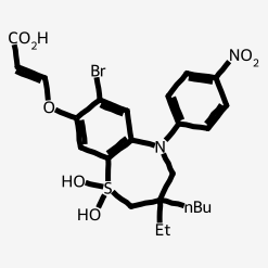 CCCCC1(CC)CN(c2ccc([N+](=O)[O-])cc2)c2cc(Br)c(O/C=C/C(=O)O)cc2S(O)(O)C1